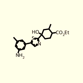 CCOC(=O)C1CCC(O)(c2ncc(-c3cc(C)cc(N)c3)s2)CC1C